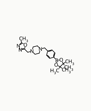 Cc1nnc(CN2CCN(Cc3ccc(B4OC(C)(C)C(C)(C)O4)cc3)CC2)o1